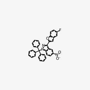 O=[N+]([O-])c1ccc2c(c1)c(-c1cc3cc(F)ccc3o1)nn2C(c1ccccc1)(c1ccccc1)c1ccccc1